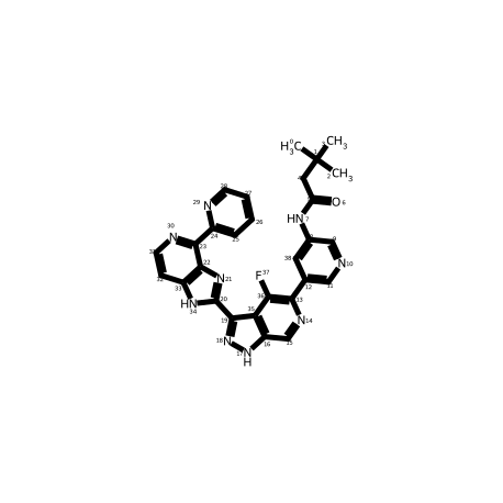 CC(C)(C)CC(=O)Nc1cncc(-c2ncc3[nH]nc(-c4nc5c(-c6ccccn6)nccc5[nH]4)c3c2F)c1